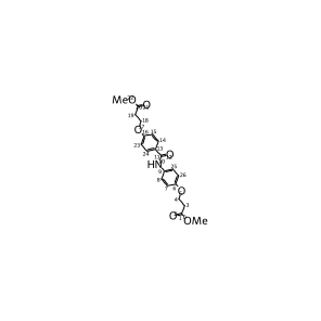 COC(=O)CCOc1ccc(NC(=O)c2ccc(OCCC(=O)OC)cc2)cc1